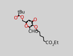 CCOC(=O)CCCCCOc1c(C=O)oc(COC(=O)C(C)(C)C)cc1=O